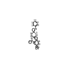 O=C1CC2(CCC(OCc3ccccc3)CC2)Oc2ccc(Br)cc21